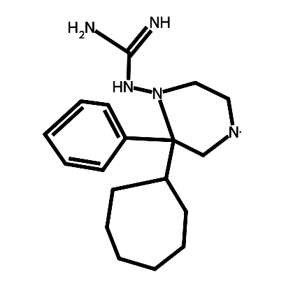 N=C(N)NN1CC[N]CC1(c1ccccc1)C1CCCCCC1